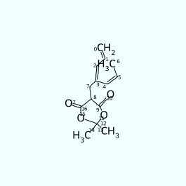 C=C/C=C(\C=C/C)CC1C(=O)OC(C)(C)OC1=O